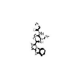 CC(C)CC(=O)NC(=O)[C@H](CC(C)C)NC(=O)c1nsc2nc3ccccc3n12